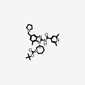 Cc1cc(C(=O)Nc2nc3cc(CN4CCCC4)cc(C)c3n2[C@@H]2CCCCN(C(=O)OC(C)(C)C)C2)cc(C)n1